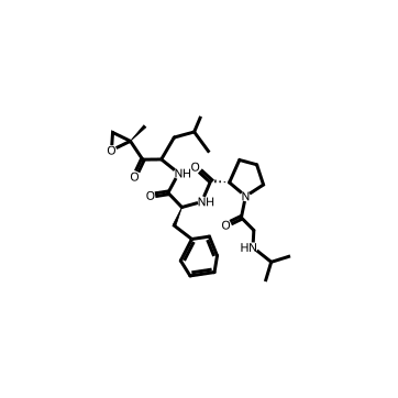 CC(C)CC(NC(=O)[C@H](Cc1ccccc1)NC(=O)[C@@H]1CCCN1C(=O)CNC(C)C)C(=O)[C@@]1(C)CO1